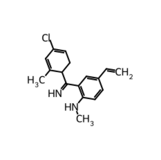 C=Cc1ccc(NC)c(C(=N)C2CC=C(Cl)C=C2C)c1